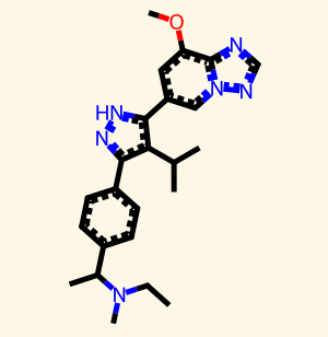 CCN(C)C(C)c1ccc(-c2n[nH]c(-c3cc(OC)c4ncnn4c3)c2C(C)C)cc1